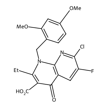 CCc1c(C(=O)O)c(=O)c2cc(F)c(Cl)nc2n1Cc1ccc(OC)cc1OC